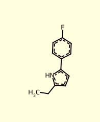 CCc1ccc(-c2ccc(F)cc2)[nH]1